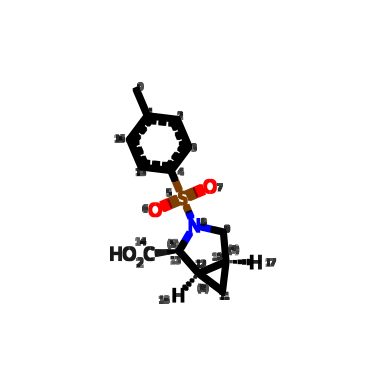 Cc1ccc(S(=O)(=O)N2C[C@H]3C[C@H]3[C@H]2C(=O)O)cc1